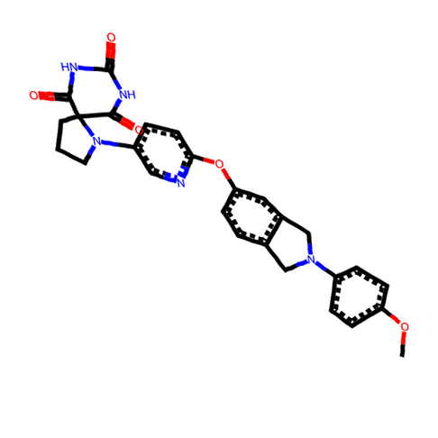 COc1ccc(N2Cc3ccc(Oc4ccc(N5CCCC56C(=O)NC(=O)NC6=O)cn4)cc3C2)cc1